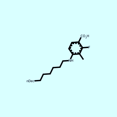 CCCCCCCCCCCCCCCCNc1ccc(C(=O)O)c(F)c1C